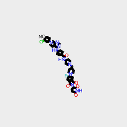 N#Cc1ccc(N2CCc3c(ncnc3Nc3ccc(C(=O)NC4CCN(CC5CCN(c6cc7c(cc6F)C(=O)N(C6CCC(=O)NC6=O)C7=O)CC5)CC4)cc3)C2)cc1Cl